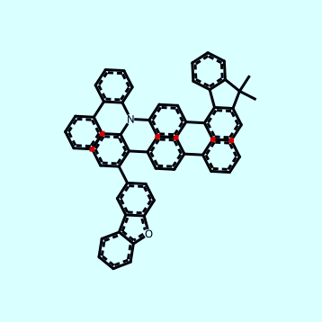 CC1(C)c2ccccc2-c2c(-c3ccc(N(c4ccccc4-c4ccccc4)c4cccc(-c5ccc6oc7ccccc7c6c5)c4-c4ccc(-c5ccccc5)cc4)cc3)cccc21